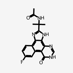 CC(=O)NC(C)(C)c1nc2c3ccc(F)cc3c3c(=O)[nH]cnc3c2[nH]1